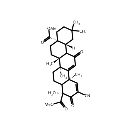 COC(=O)[C@]1(C)C(=O)C(C#N)=C[C@]2(C)C3=CC(=O)C4[C@H]5CC(C)(C)CC[C@]5(C(=O)OC)CC[C@@]4(C)[C@]3(C)CCC12